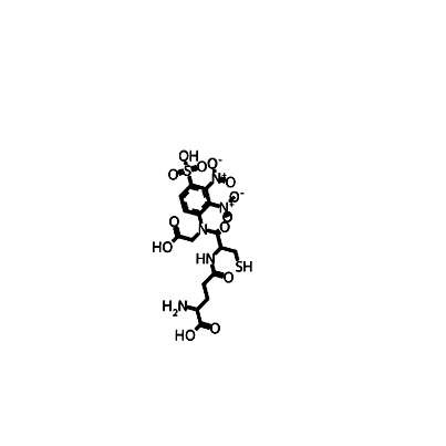 NC(CCC(=O)NC(CS)C(=O)N(CC(=O)O)c1ccc(S(=O)(=O)O)c([N+](=O)[O-])c1[N+](=O)[O-])C(=O)O